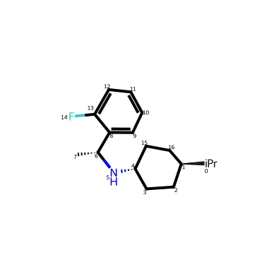 CC(C)[C@H]1CC[C@H](N[C@H](C)c2ccccc2F)CC1